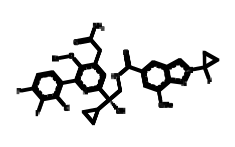 CCOc1c(CC(N)=O)cc([C@@](O)(CNC(=O)c2cc(OC)c3nn(C4(F)CC4)cc3c2)C2CC2)nc1-c1ccc(F)c(F)c1Cl